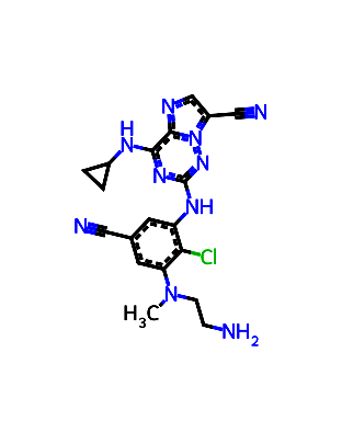 CN(CCN)c1cc(C#N)cc(Nc2nc(NC3CC3)c3ncc(C#N)n3n2)c1Cl